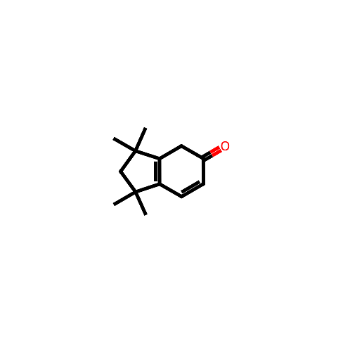 CC1(C)CC(C)(C)C2=C1C=CC(=O)C2